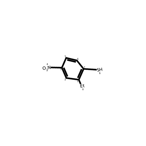 CCc1cc([N+](=O)[O-])ccc1S